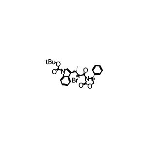 C[C@@H](c1cn(C(=O)OC(C)(C)C)c2ccccc12)[C@@H](Br)C(=O)N1C(=O)OC[C@H]1c1ccccc1